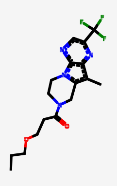 CCCOCCC(=O)N1CCn2c(c(C)c3nc(C(F)(F)F)cnc32)C1